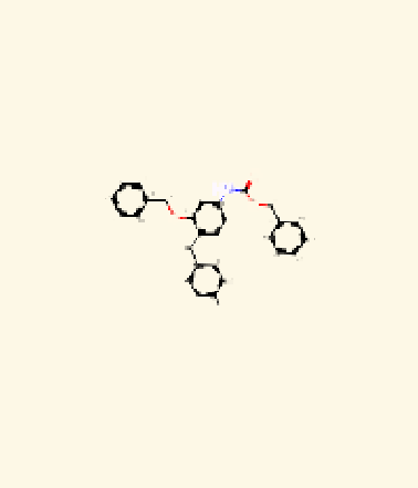 CCc1ccc(Cc2ccc(NC(=O)OCc3ccccc3)cc2OCc2ccccc2)cc1